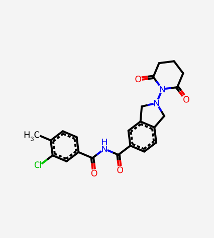 Cc1ccc(C(=O)NC(=O)c2ccc3c(c2)CN(N2C(=O)CCCC2=O)C3)cc1Cl